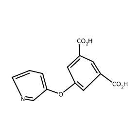 O=C(O)c1cc(Oc2cccnc2)cc(C(=O)O)c1